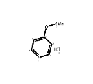 CSOc1ccncc1.Cl